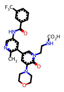 Cc1ncc(NC(=O)c2cccc(C(F)(F)F)c2)cc1-c1cc(N2CCOCC2)c(=O)n(CCNC(=O)O)c1